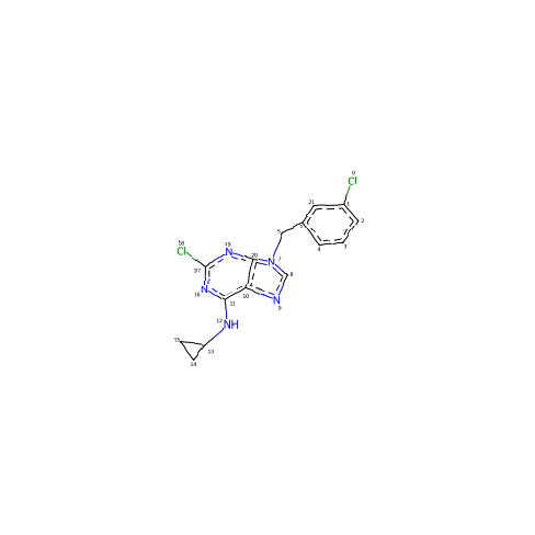 Clc1cccc(Cn2cnc3c(NC4CC4)nc(Cl)nc32)c1